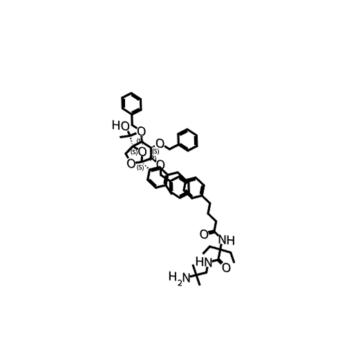 CCC(CC)(NC(=O)CCCc1ccc(Cc2cc([C@]34OC[C@](C(C)(C)O)(O3)[C@@H](OCc3ccccc3)[C@H](OCc3ccccc3)[C@H]4OCc3ccccc3)ccc2C)cc1)C(=O)NCC(C)(C)N